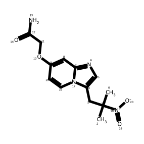 CC(C)(Cc1cnc2cc(OCC(N)=O)ccn12)[N+](=O)[O-]